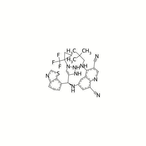 CC(C)(C)CNc1c(C#N)cnc2c(C#N)cc(N[C@H](C3=CN(C4(C(F)(F)F)CC4)NN3)c3cccc4ncsc34)cc12